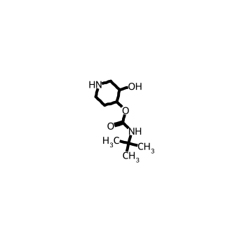 CC(C)(C)NC(=O)OC1CCNCC1O